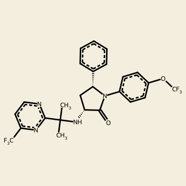 CC(C)(N[C@@H]1C[C@H](c2ccccc2)N(c2ccc(OC(F)(F)F)cc2)C1=O)c1nccc(C(F)(F)F)n1